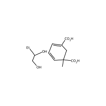 CC1(C(=O)O)C=CC=C(C(=O)O)C1.CCC(O)CO